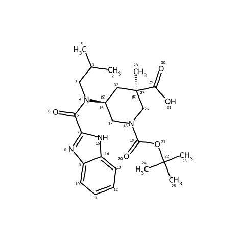 CC(C)CN(C(=O)c1nc2ccccc2[nH]1)[C@@H]1CN(C(=O)OC(C)(C)C)C[C@](C)(C(=O)O)C1